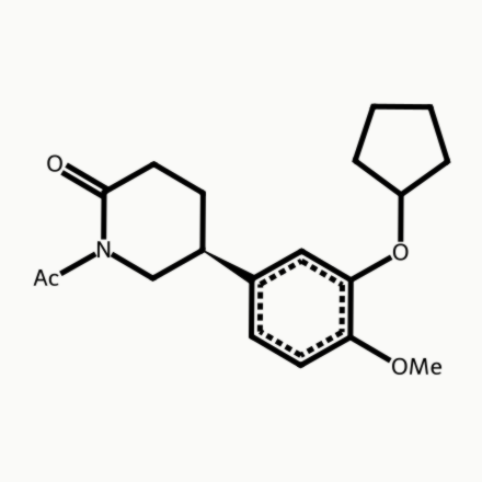 COc1ccc([C@@H]2CCC(=O)N(C(C)=O)C2)cc1OC1CCCC1